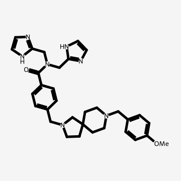 COc1ccc(CN2CCC3(CC2)CCN(Cc2ccc(C(=O)N(Cc4ncc[nH]4)Cc4ncc[nH]4)cc2)C3)cc1